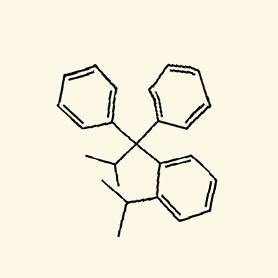 CC(C)c1ccccc1C(c1ccccc1)(c1ccccc1)C(C)C